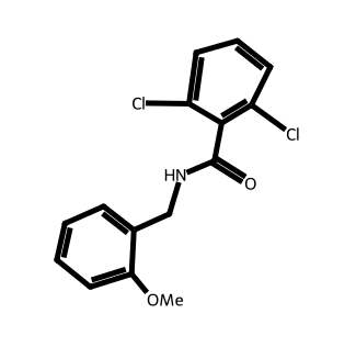 COc1ccccc1CNC(=O)c1c(Cl)cccc1Cl